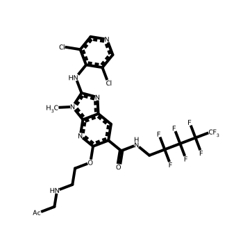 CC(=O)CNCCOc1nc2c(cc1C(=O)NCC(F)(F)C(F)(F)C(F)(F)C(F)(F)F)nc(Nc1c(Cl)cncc1Cl)n2C